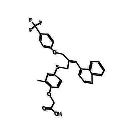 Cc1cc(SCC(=Cc2cccc3ccccc23)COc2ccc(C(F)(F)F)cc2)ccc1OCC(=O)O